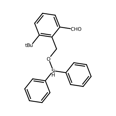 CC(C)(C)c1cccc(C=O)c1CO[SiH](c1ccccc1)c1ccccc1